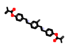 C=C(C)C(=O)Oc1ccc(/C=C/c2ccc(/C=C/c3ccc(OC(=O)C(=C)C)cc3)c(C)c2)cc1